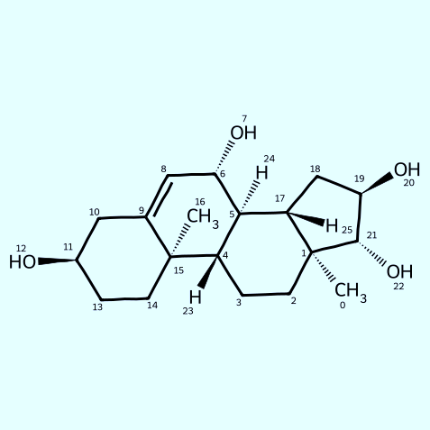 C[C@]12CC[C@H]3[C@@H]([C@@H](O)C=C4C[C@H](O)CC[C@@]43C)[C@@H]1C[C@@H](O)[C@@H]2O